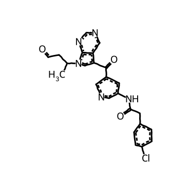 CC(CC=O)n1cc(C(=O)c2cncc(NC(=O)Cc3ccc(Cl)cc3)c2)c2cncnc21